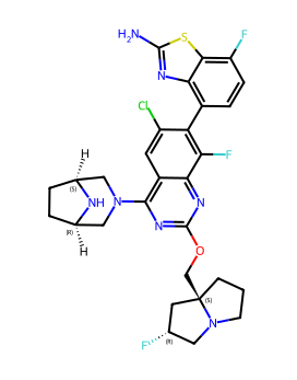 Nc1nc2c(-c3c(Cl)cc4c(N5C[C@H]6CC[C@@H](C5)N6)nc(OC[C@@]56CCCN5C[C@H](F)C6)nc4c3F)ccc(F)c2s1